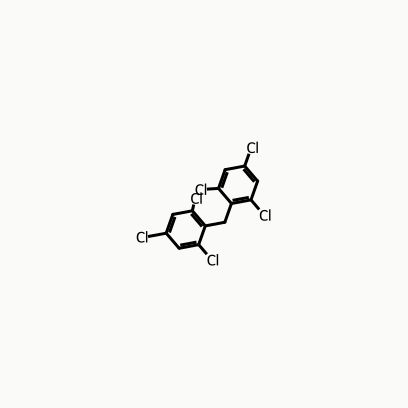 Clc1cc(Cl)c(Cc2c(Cl)cc(Cl)cc2Cl)c(Cl)c1